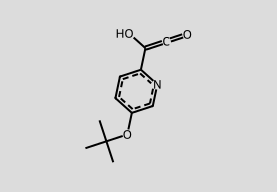 CC(C)(C)Oc1ccc(C(O)=C=O)nc1